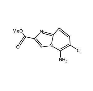 COC(=O)c1cn2c(N)c(Cl)ccc2n1